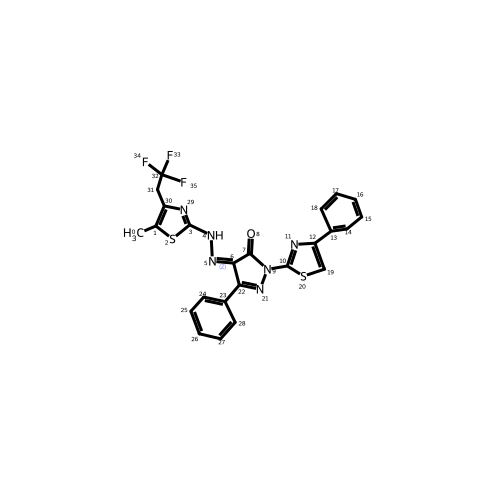 Cc1sc(N/N=C2\C(=O)N(c3nc(-c4ccccc4)cs3)N=C2c2ccccc2)nc1CC(F)(F)F